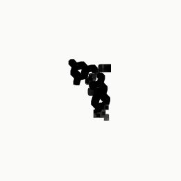 Cc1cc(C)cc(CP(=O)(O)CC(Cc2ccc(N)nc2)C(=O)O)c1